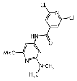 COc1cc(NC(=O)c2cc(Cl)nc(Cl)c2)nc(N(C)C)n1